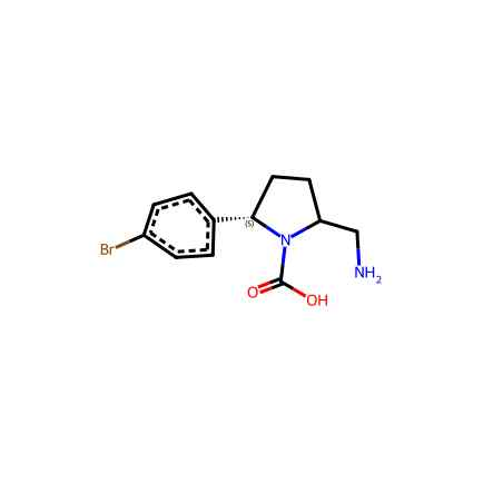 NCC1CC[C@@H](c2ccc(Br)cc2)N1C(=O)O